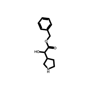 O=C(OCc1ccccc1)C(O)C1CCNC1